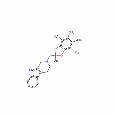 Cc1c(C)c2c(c(C)c1N)CC(C)(CN1CCc3c([nH]c4ccccc34)C1)O2